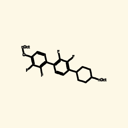 CCCCCCCCOc1ccc(-c2ccc(C3CCC(CCCCCCCC)CC3)c(F)c2F)c(F)c1F